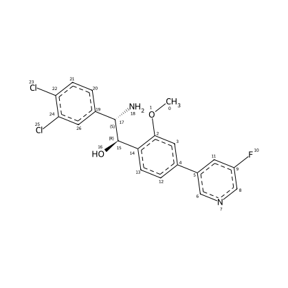 COc1cc(-c2cncc(F)c2)ccc1[C@@H](O)[C@@H](N)c1ccc(Cl)c(Cl)c1